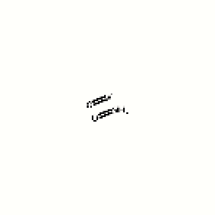 O=[SiH2].[O]=[V]